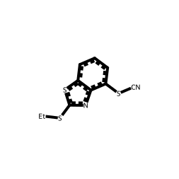 CCSc1nc2c(SC#N)cccc2s1